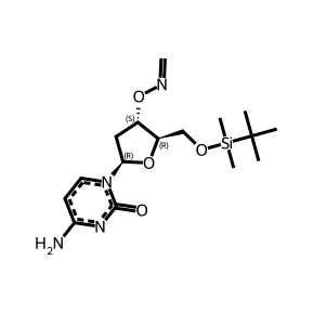 C=NO[C@H]1C[C@H](n2ccc(N)nc2=O)O[C@@H]1CO[Si](C)(C)C(C)(C)C